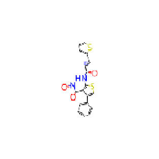 O=NC(=O)c1c(-c2ccccc2)csc1NC(=O)/C=C/c1cccs1